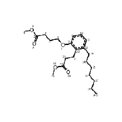 COC(=O)CCCOc1cccc(CCCCCCI)c1CCC(=O)OC